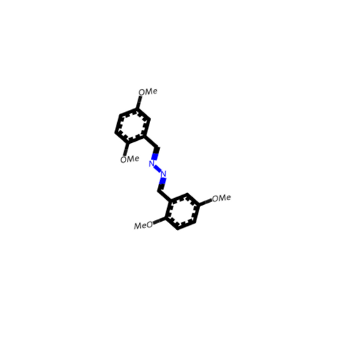 COc1ccc(OC)c(C=NN=Cc2cc(OC)ccc2OC)c1